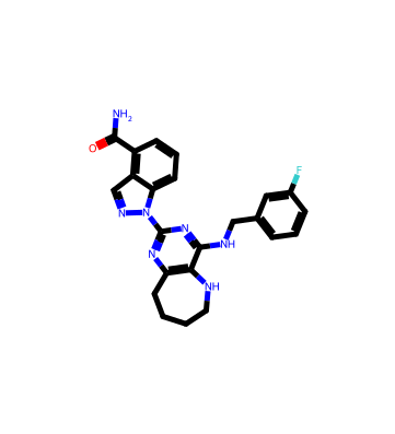 NC(=O)c1cccc2c1cnn2-c1nc2c(c(NCc3cccc(F)c3)n1)NCCCC2